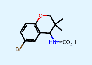 CC1(C)COc2ccc(Br)cc2C1NC(=O)O